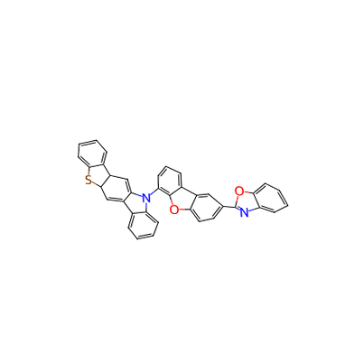 C1=c2c(n(-c3cccc4c3oc3ccc(-c5nc6ccccc6o5)cc34)c3ccccc23)=CC2c3ccccc3SC12